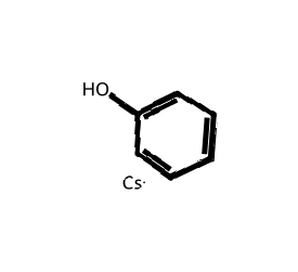 Oc1ccccc1.[Cs]